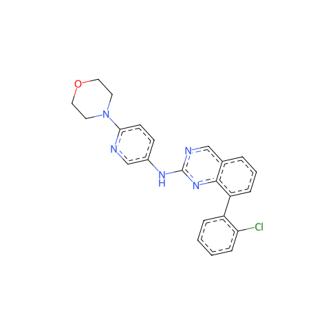 Clc1ccccc1-c1cccc2cnc(Nc3ccc(N4CCOCC4)nc3)nc12